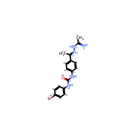 CC(=N)N/N=C(\C)c1ccc(NC(=O)Nc2ccc(Br)cc2)cc1